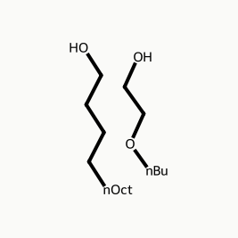 CCCCCCCCCCCCO.CCCCOCCO